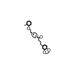 Cc1ccccc1OCCN1CCN(C(=O)CCCc2ccc3c(c2)OCCO3)CC1